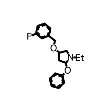 CCN1CC(OCc2cccc(F)c2)CC1Oc1ccccc1